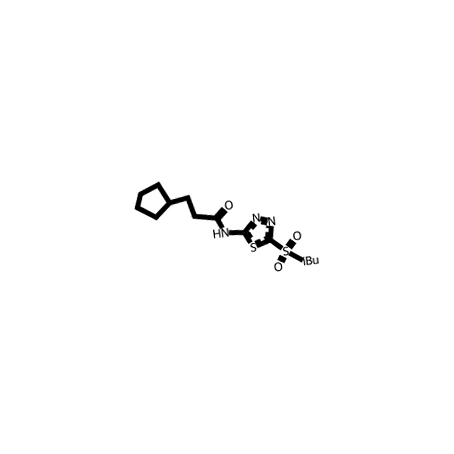 CCC(C)S(=O)(=O)c1nnc(NC(=O)CCC2CCCC2)s1